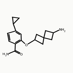 NC(=O)c1ccc(C2CC2)cc1OC1CC2(CC(N)C2)C1